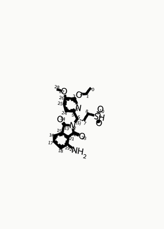 CCOc1nc([C@H](CC[SH](=O)=O)N2C(=O)c3cccc(N)c3C2=O)ccc1OC